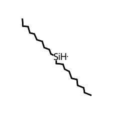 CCCCCCCCCC[SiH]CCCCCCCCCC